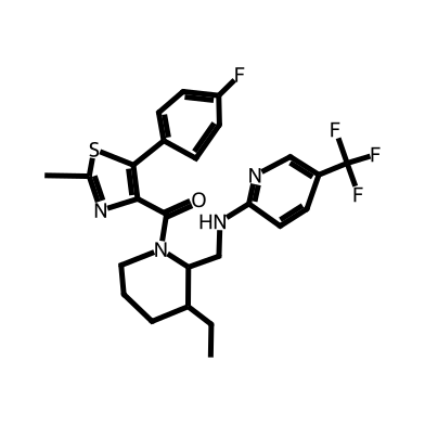 CCC1CCCN(C(=O)c2nc(C)sc2-c2ccc(F)cc2)C1CNc1ccc(C(F)(F)F)cn1